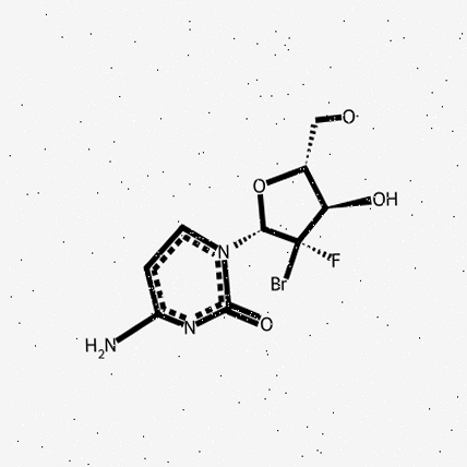 Nc1ccn([C@@H]2O[C@H](C[O])[C@@H](O)[C@@]2(F)Br)c(=O)n1